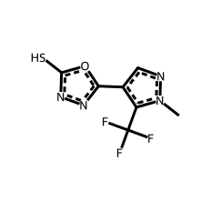 Cn1ncc(-c2nnc(S)o2)c1C(F)(F)F